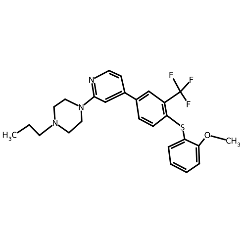 CCCN1CCN(c2cc(-c3ccc(Sc4ccccc4OC)c(C(F)(F)F)c3)ccn2)CC1